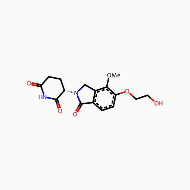 COc1c(OCCO)ccc2c1CN([C@H]1CCC(=O)NC1=O)C2=O